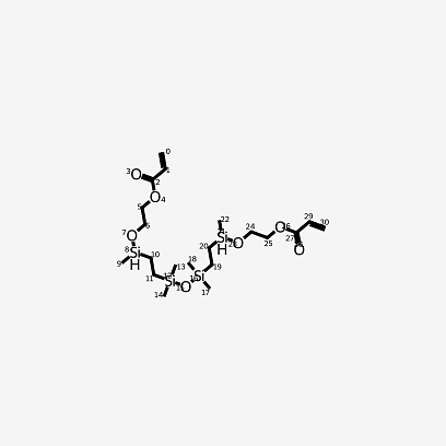 C=CC(=O)OCCO[SiH](C)CC[Si](C)(C)O[Si](C)(C)CC[SiH](C)OCCOC(=O)C=C